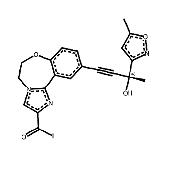 Cc1cc([C@](C)(O)C#Cc2ccc3c(c2)-c2nc(C(=O)I)cn2CCO3)no1